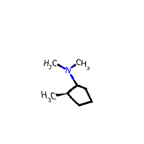 C[C@@H]1CCCC1N(C)C